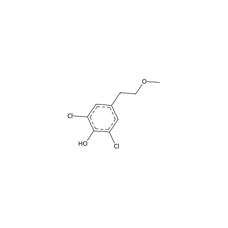 COCCc1cc(Cl)c(O)c(Cl)c1